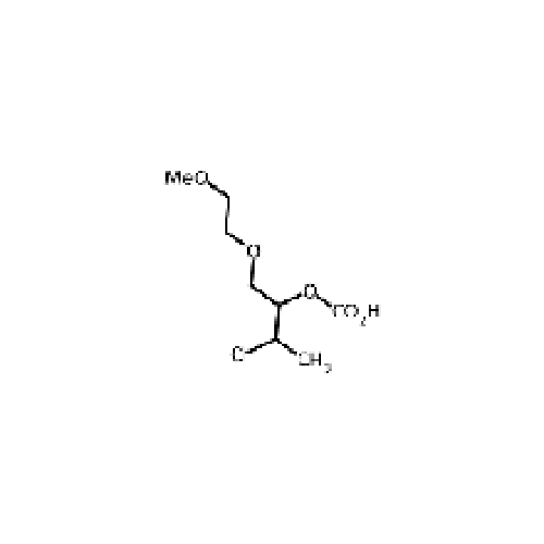 COCCOCC(OC(=O)O)C(C)Cl